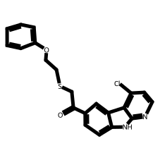 O=C(CSCCOc1ccccc1)c1ccc2[nH]c3nccc(Cl)c3c2c1